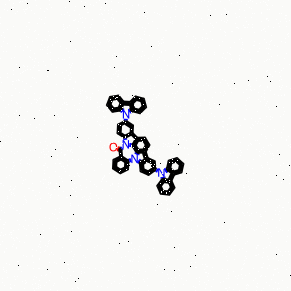 O=C1c2ccccc2-n2c3ccc(-n4c5ccccc5c5ccccc54)cc3c3ccc4c(c32)N1C1C=CC(n2c3ccccc3c3ccccc32)=CC41